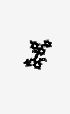 CC(C)(C)[Si](C)(C)OCC(C#CC1(O)OCCN(Cc2ccccc2)C1c1ccc(F)cc1)c1ccccc1OC(F)(F)F